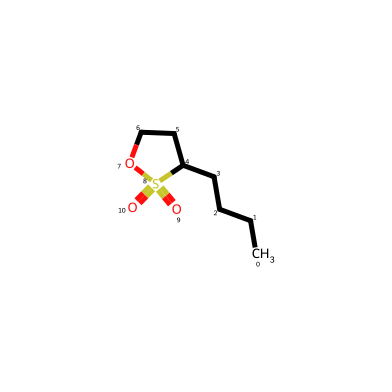 CCCCC1CCOS1(=O)=O